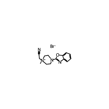 C[N+]1(CC#N)CCN(c2nc3ccccc3o2)CC1.[Br-]